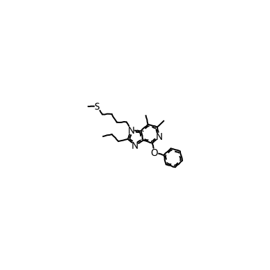 CCCc1nc2c(Oc3ccccc3)nc(C)c(C)c2n1CCCCSC